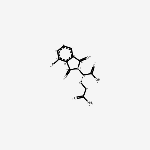 NC(=O)CC[C@@H](C(=O)O)N1C(=O)c2cccc(F)c2C1=O